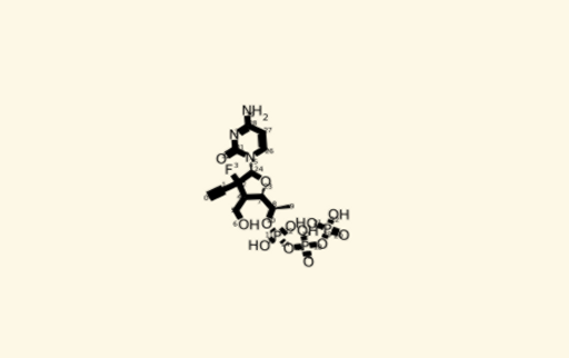 C#CC1(F)C(CO)[C@@H]([C@@H](C)OP(=O)(O)OP(=O)(O)OP(=O)(O)O)O[C@H]1n1ccc(N)nc1=O